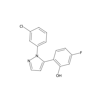 Oc1cc(F)ccc1-c1ccnn1-c1cccc(Cl)c1